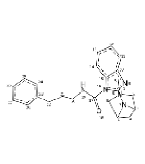 CN1CC2CC(C1)N2c1nc2ccccc2n1C(=O)NCCCc1ccccc1